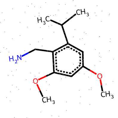 COc1cc(OC)c(CN)c(C(C)C)c1